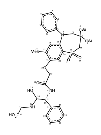 CCCCC1(CCCC)CN(c2ccccc2)c2cc(SC)c(OCC(=O)N[C@H](c3ccccc3)C(O)NCC(=O)O)cc2S(=O)(=O)C1